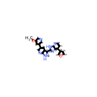 COc1cncc(-c2cnc3[nH]nc(-c4nc5c(-c6ccoc6)ccnc5[nH]4)c3c2)c1